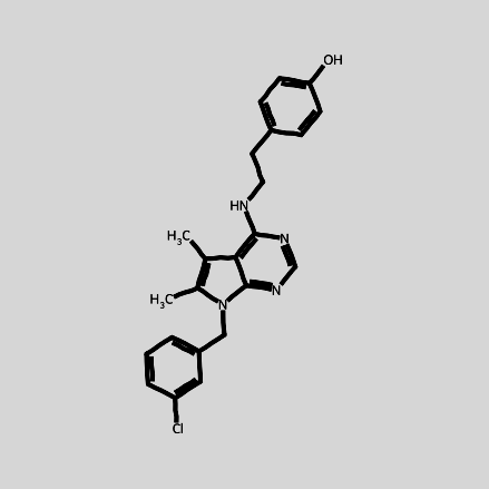 Cc1c(C)n(Cc2cccc(Cl)c2)c2ncnc(NCCc3ccc(O)cc3)c12